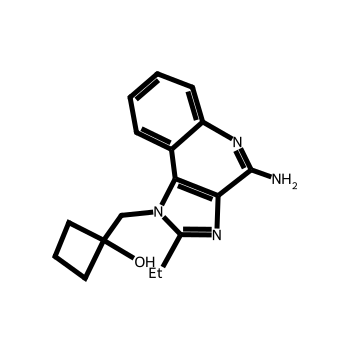 CCc1nc2c(N)nc3ccccc3c2n1CC1(O)CCC1